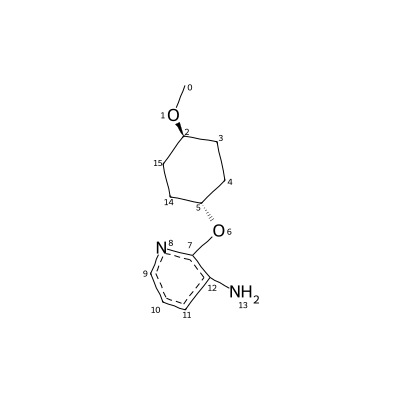 CO[C@H]1CC[C@H](Oc2ncccc2N)CC1